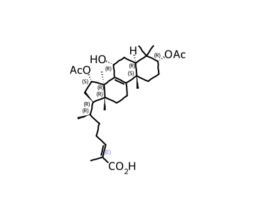 CC(=O)O[C@H]1C[C@H]([C@H](C)CC/C=C(\C)C(=O)O)[C@@]2(C)CCC3=C([C@H](O)C[C@H]4C(C)(C)[C@H](OC(C)=O)CC[C@]34C)[C@]12C